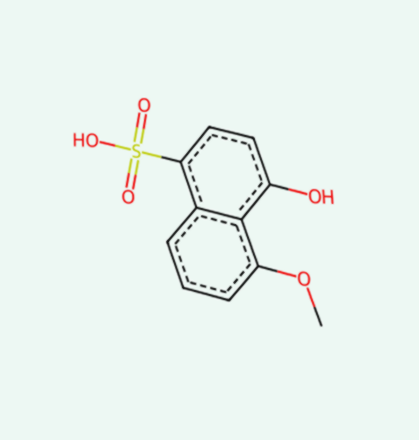 COc1cccc2c(S(=O)(=O)O)ccc(O)c12